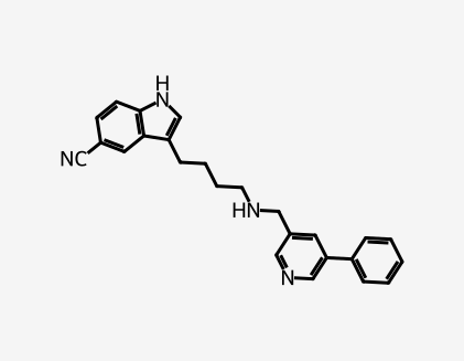 N#Cc1ccc2[nH]cc(CCCCNCc3cncc(-c4ccccc4)c3)c2c1